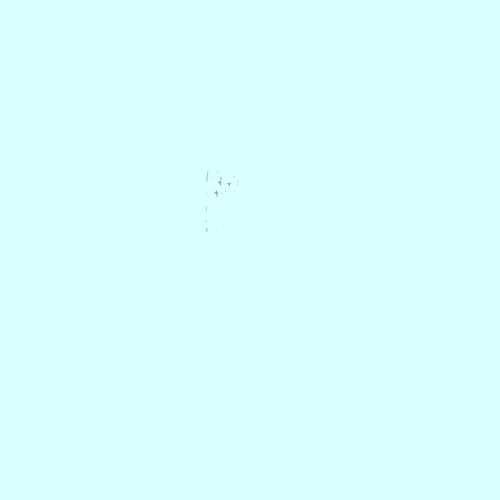 CCCCCCCCCCCCCCCCCC(CS(=O)(=O)O)OC(C)=O